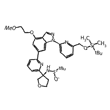 COCCOc1cc(-c2cccc([C@]3(N[S+]([O-])C(C)(C)C)CCOC3)n2)cc2c1cnn2-c1cccc(CO[Si](C)(C)C(C)(C)C)n1